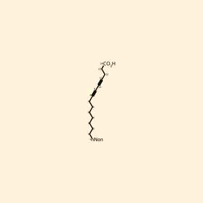 CCCCCCCCCCCCCCCCC#CC#CCCC(=O)O